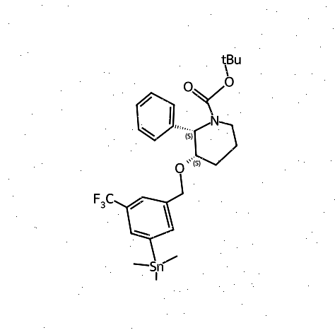 CC(C)(C)OC(=O)N1CCC[C@H](OCc2cc(C(F)(F)F)c[c]([Sn]([CH3])([CH3])[CH3])c2)[C@@H]1c1ccccc1